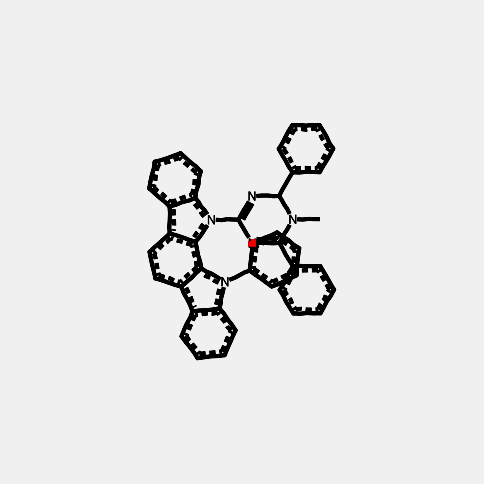 CN1C(c2ccccc2)=NC(n2c3ccccc3c3ccc4c5ccccc5n(-c5ccccc5)c4c32)=NC1c1ccccc1